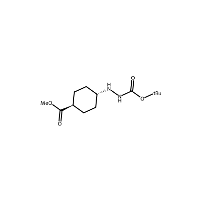 COC(=O)[C@H]1CC[C@H](NNC(=O)OC(C)(C)C)CC1